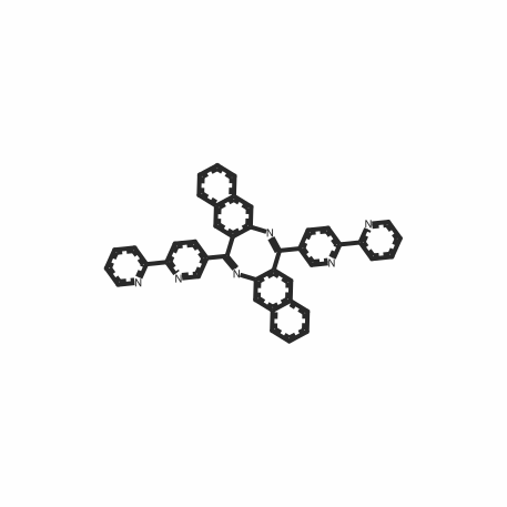 c1ccc(-c2ccc(/C3=N/c4cc5ccccc5cc4/C(c4ccc(-c5ccccn5)nc4)=N\c4cc5ccccc5cc43)cn2)nc1